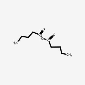 CCC[CH2][Sn](=[O])[O][Sn](=[O])[CH2]CCC